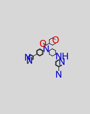 Cn1cc(-c2ccc(N(C(=O)C3CCOCC3)[C@H]3CC[C@H](Nc4ccc(C#N)cn4)CC3)cc2)cn1